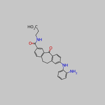 Nc1ccccc1Nc1ccc2c(c1)CCc1ccc(C(=O)NCCC(=O)O)cc1C2=O